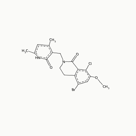 COc1cc(Br)c2c(c1Cl)C(=O)N(Cc1c(C)cc(C)[nH]c1=O)CC2